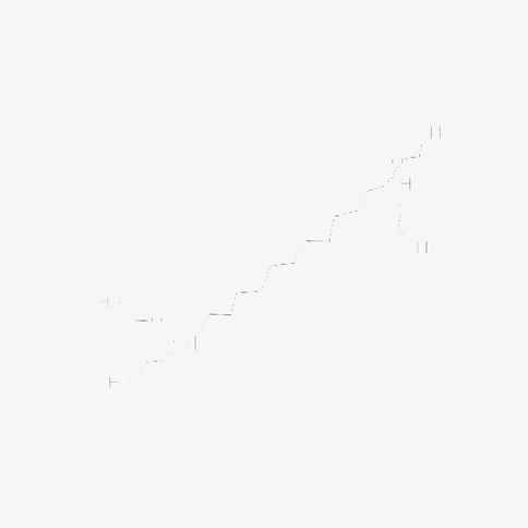 CCO[SiH](CCCCCCCCCCCC[SiH](OCC)OCC)OCC